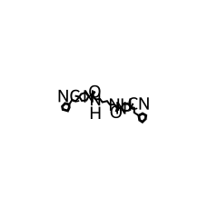 N#CC1(CCc2ccccc2)CCN(C(=O)NCCCCNC(=O)N2CCC(C#N)(CCc3ccccc3)CC2)CC1